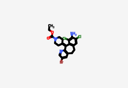 CCOC(=O)N1CCC(=C2c3ncc(Br)cc3CCc3cc(Cl)c(N)c(Cl)c32)CC1